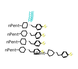 CCCCC[C@H]1CC[C@H](CCc2ccc([S])cc2)CC1.CCCCC[C@H]1CC[C@H](CCc2ccc([S])cc2)CC1.CCCCC[C@H]1CC[C@H](CCc2ccc([S])cc2)CC1.CCCCC[C@H]1CC[C@H](CCc2ccc([S])cc2)CC1.CCCCC[C@H]1CC[C@H](CCc2ccc([S])cc2)CC1.F.F.F.F.F